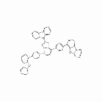 c1ccc2c(c1)oc1c(-c3ccc(-c4ccc(-c5ccc(-c6cccc7c6oc6ccccc67)cc5)c5sc(-n6c7ccccc7c7ccccc76)nc45)cc3)cccc12